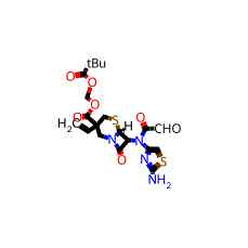 C=CC1(C(=O)OCOC(=O)C(C)(C)C)CS[C@@H]2C(N(C(=O)C=O)c3csc(N)n3)C(=O)N2C1